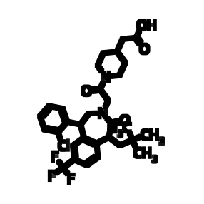 CC(C)(C)CC1C(=O)N(CC(=O)N2CCC(CC(=O)O)CC2)CC(c2ccccc2Cl)c2cc(C(F)(F)F)ccc21